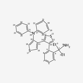 CCC(N)(CC)c1ccccc1-c1cscc1-c1cscc1N(c1ccccc1)c1ccccc1